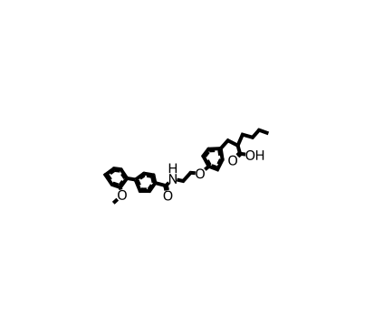 CCCCC(Cc1ccc(OCCNC(=O)c2ccc(-c3ccccc3OC)cc2)cc1)C(=O)O